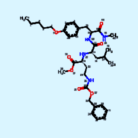 CCCCCOc1ccc(C[C@H](NC(=O)[C@H](CC(C)C)N[C@H](CCNC(=O)OCc2ccccc2)C(=O)OC)C(=O)NC)cc1